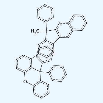 CC1(c2ccccc2)c2cc(-c3cccc4c3C(c3ccccc3)(c3ccccc3)c3ccccc3O4)ccc2-c2cc3ccccc3cc21